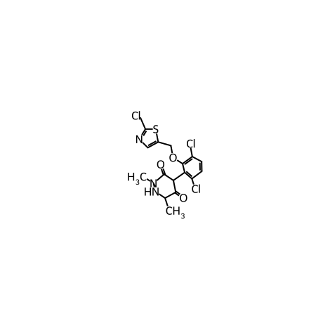 CC1NN(C)C(=O)C(c2c(Cl)ccc(Cl)c2OCc2cnc(Cl)s2)C1=O